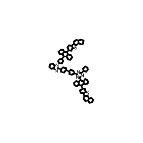 c1ccc(-c2nc(-c3ccc(-c4ccc(-c5nc6ccccc6n5-c5ccc(-c6c7ccccc7c(-c7ccc8c(c7)sc7c9ccccc9ccc87)c7ccccc67)cc5)cc4)cc3)nc(-c3c4ccccc4c(-c4ccc5c(c4)sc4c6ccccc6ccc54)c4ccccc34)n2)cc1